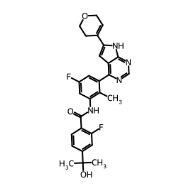 Cc1c(NC(=O)c2ccc(C(C)(C)O)cc2F)cc(F)cc1-c1ncnc2[nH]c(C3=CCOCC3)cc12